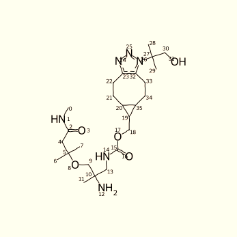 CNC(=O)CC(C)(C)OCC(C)(N)CNC(=O)OCC1C2CCc3nnn(C(C)(C)CO)c3CCC21